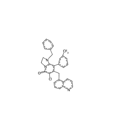 O=c1c(Cl)c(Cc2cccc3ncccc23)c(-c2cccc(C(F)(F)F)c2)c2n1CCN2Cc1ccccc1